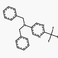 FC(F)(F)c1ncc(N(Cc2ccccc2)Cc2ccccc2)cn1